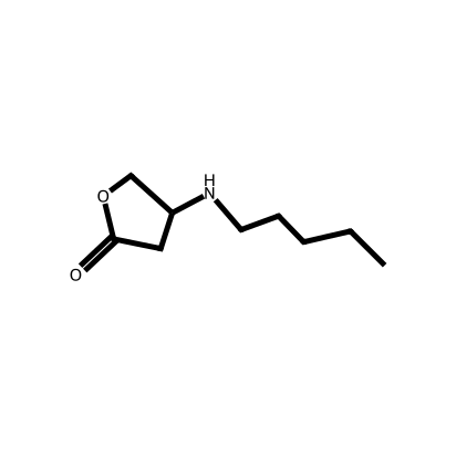 CCCCCNC1COC(=O)C1